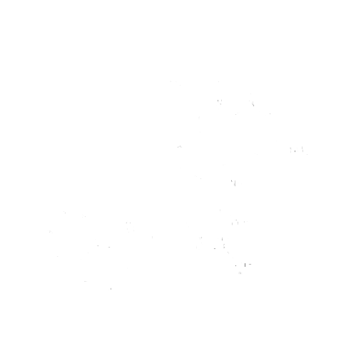 Nc1cnc(N2CCOCC2)c(-c2cccc3c(CCCOc4cccc5ccccc45)c(OC(=O)O)[nH]c23)c1